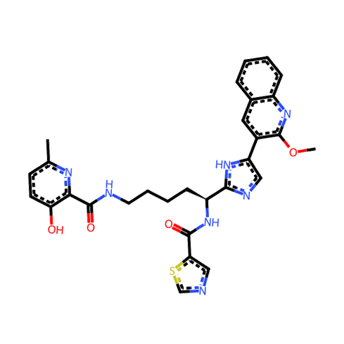 COc1nc2ccccc2cc1-c1cnc([C@H](CCCCNC(=O)c2nc(C)ccc2O)NC(=O)c2cncs2)[nH]1